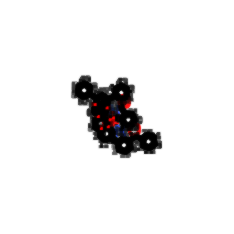 O=C(c1ccccc1)c1cccc2c3cccc(C(=O)c4ccccc4)c3n(-c3cccc4c3C(=O)N(c3c(-c5ccccc5)cc(-c5ccccc5)cc3-c3ccccc3)C4=O)c12